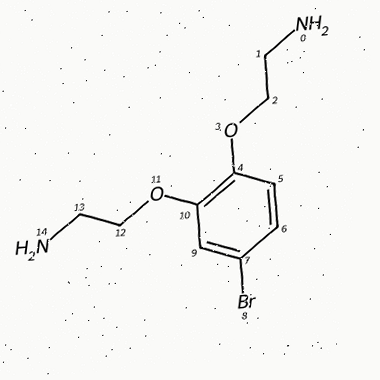 NCCOc1ccc(Br)cc1OCCN